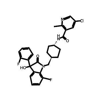 Cc1ncc(Cl)cc1C(=O)N[C@H]1CC[C@H](CN2C(=O)C(O)(c3ccccc3F)c3cccc(F)c32)CC1